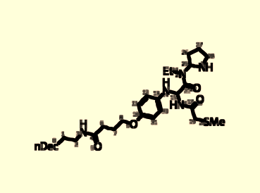 CCCCCCCCCCCCNC(=O)CCCOc1ccc(NC(NC(=O)CSC)C(=O)N(CC)C2CCCN2)cc1